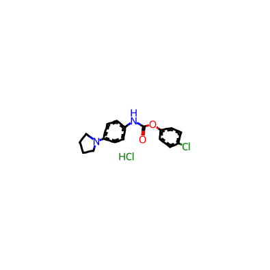 Cl.O=C(Nc1ccc(N2CCCC2)cc1)Oc1ccc(Cl)cc1